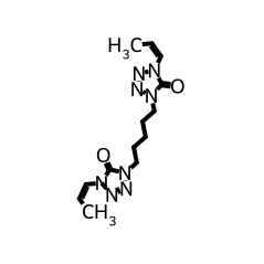 C/C=C\n1nnn(CCCCCn2nnn(/C=C\C)c2=O)c1=O